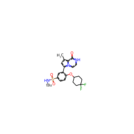 Cc1cc(-c2cc(S(=O)(=O)NC(C)(C)C)ccc2OC2CCC(F)(F)CC2)n2cc[nH]c(=O)c12